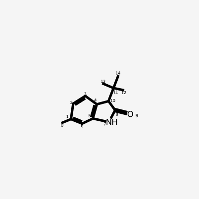 Cc1ccc2c(c1)NC(=O)C2C(C)(C)C